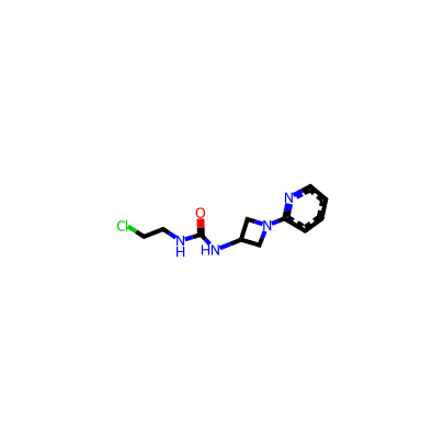 O=C(NCCCl)NC1CN(c2ccccn2)C1